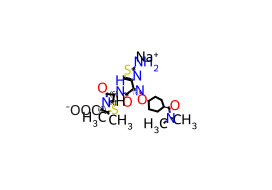 CN(C)C(=O)[C@H]1CC[C@H](O/N=C(\C(=O)N[C@H]2C(=O)N3[C@@H]2SC(C)(C)[C@@H]3C(=O)[O-])c2csc(N)n2)CC1.[Na+]